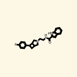 O=C(NCCN1CC2CC(c3ccc(F)cc3)C2C1)c1cc2ccccc2[nH]1